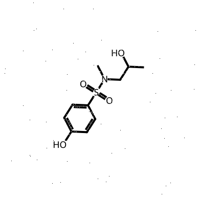 CC(O)CN(C)S(=O)(=O)c1ccc(O)cc1